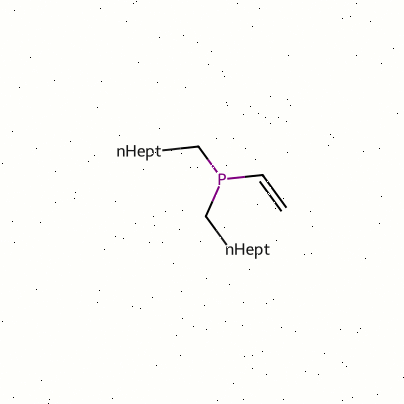 C=CP(CCCCCCCC)CCCCCCCC